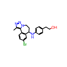 Cc1nnn2c1-c1ccc(Br)cc1C(Nc1ccc(CCO)cc1)CC2